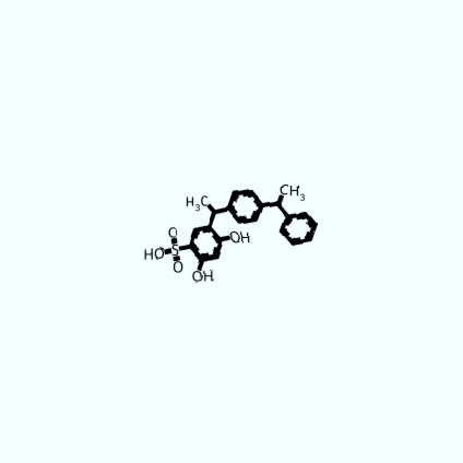 CC(c1ccccc1)c1ccc(C(C)c2cc(S(=O)(=O)O)c(O)cc2O)cc1